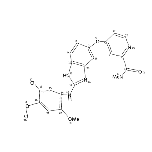 CNC(=O)c1cc(Oc2ccc3[nH]c(Nc4cc(Cl)c(OCl)cc4OC)nc3c2)ccn1